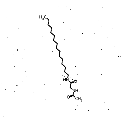 CCCCCCCCCCCCCCCCNC(=O)CNC(C)=O